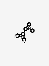 c1ccc(-n2c3ccccc3c3ccc(-c4cc5c6ccncc6n6c7cnccc7c(c4)c56)cc32)cc1